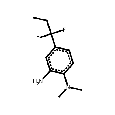 CCC(F)(F)c1ccc(N(C)C)c(N)c1